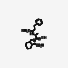 CCOC(=O)C(CCc1ccccc1)NC(C)C(=O)N1CC2CCCCC2C1C(=O)O.Cl